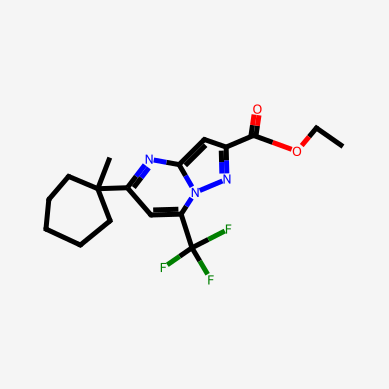 CCOC(=O)c1cc2nc(C3(C)CCCCC3)cc(C(F)(F)F)n2n1